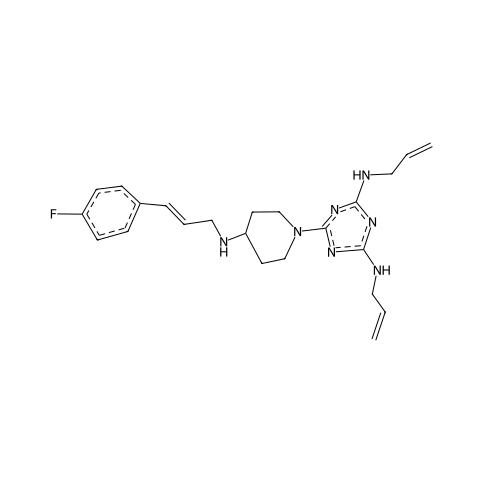 C=CCNc1nc(NCC=C)nc(N2CCC(NCC=Cc3ccc(F)cc3)CC2)n1